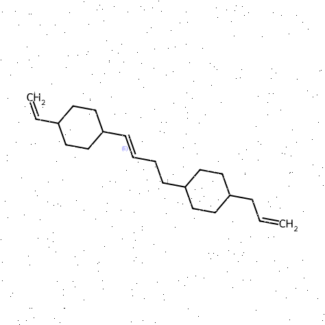 C=CCC1CCC(CC/C=C/C2CCC(C=C)CC2)CC1